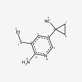 CCSc1cc(C2(C#N)CC2)cnc1N